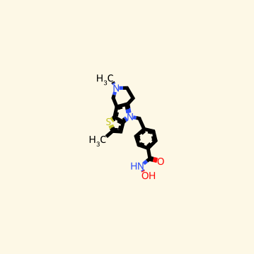 Cc1cc2c(s1)c1c(n2Cc2ccc(C(=O)NO)cc2)CCN(C)C1